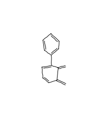 C=c1cccc(-c2ccccc2)c1=C